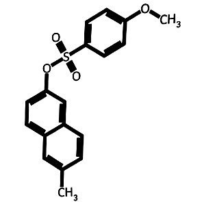 COc1ccc(S(=O)(=O)Oc2ccc3cc(C)ccc3c2)cc1